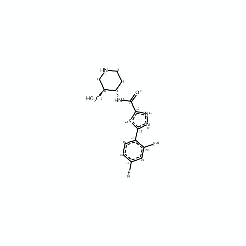 O=C(N[C@H]1CCNC[C@@H]1C(=O)O)c1nnc(-c2ccc(F)cc2F)s1